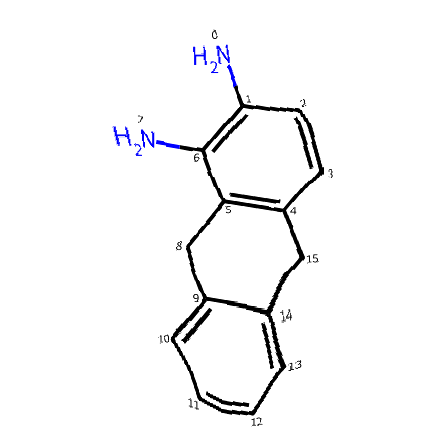 Nc1ccc2c(c1N)Cc1ccccc1C2